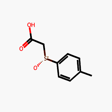 Cc1ccc([S@+]([O-])CC(=O)O)cc1